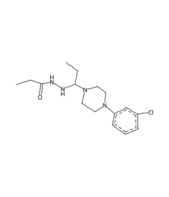 CCC(=O)NNC(CC)N1CCN(c2cccc(Cl)c2)CC1